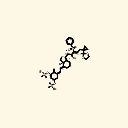 C=C1/C(=C\C=C2/CCC[C@]3(C)[C@@H]([C@H](C)C(O)C(CCC4(C5(CCCCCCC)OCCO5)CC4)S(=O)(=O)c4ccccc4)CC[C@@H]23)C[C@@H](O[Si](C)(C)C(C)(C)C)C[C@@H]1O[Si](C)(C)C(C)(C)C